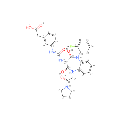 O=C(O)Cc1cccc(NC(=O)NC2C(=O)N(CC(=O)N3CCCC3)c3ccccc3N(c3ccccc3F)C2=O)c1